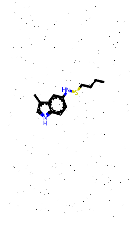 CCCCSNc1ccc2[nH]cc(C)c2c1